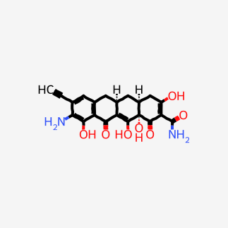 C#Cc1cc2c(c(O)c1N)C(=O)C1=C(O)[C@]3(O)C(=O)C(C(N)=O)=C(O)C[C@@H]3C[C@@H]1C2